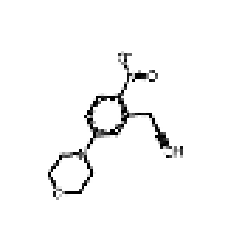 C#CCc1cc(N2CCOCC2)ccc1[N+](=O)[O-]